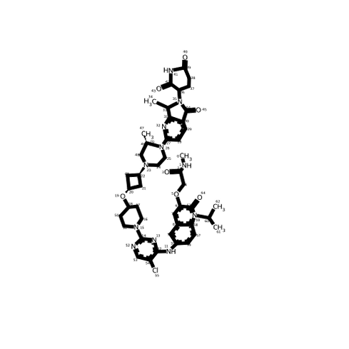 CNC(=O)COc1cc2cc(Nc3nc(N4CCC(O[C@H]5C[C@H](N6CCN(c7ccc8c(n7)C(C)N(C7CCC(=O)NC7=O)C8=O)[C@@H](C)C6)C5)CC4)ncc3Cl)ccc2n(C(C)C)c1=O